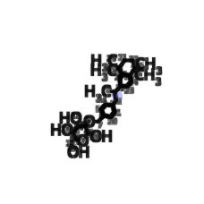 C/C(=C\c1ccc(CO[C@@H]2[C@@H](O)[C@H](O)[C@@H](CO)O[C@H]2O)cc1)c1ccc2c(c1)C(C)(C)CCC2(C)C